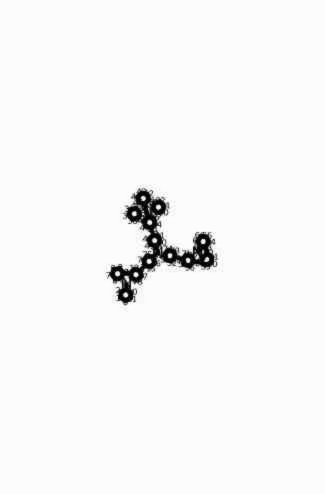 c1ccc(-n2c3ccccc3c3cc(-c4ccc(N(c5ccc(-c6ccc([Si](c7ccccc7)(c7ccccc7)c7ccccc7)cc6)cc5)c5ccc(-c6ccc7c8cccc9c%10ccccc%10n(c7c6)c98)cc5)cc4)ccc32)cc1